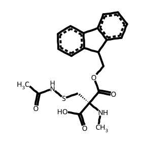 CN[C@@](CSNC(C)=O)(C(=O)O)C(=O)OCC1c2ccccc2-c2ccccc21